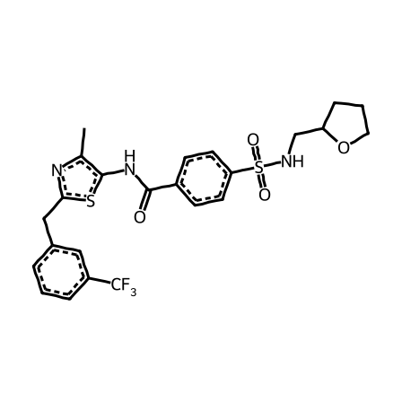 Cc1nc(Cc2cccc(C(F)(F)F)c2)sc1NC(=O)c1ccc(S(=O)(=O)NCC2CCCO2)cc1